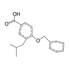 CC(C)Cc1cc(C(=O)O)ccc1OCc1ccccc1